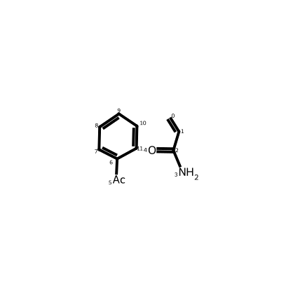 C=CC(N)=O.CC(=O)c1ccccc1